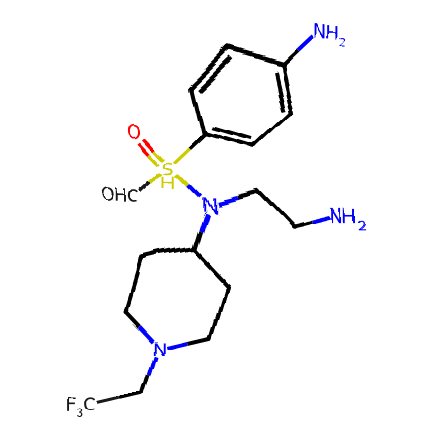 NCCN(C1CCN(CC(F)(F)F)CC1)[SH](=O)(C=O)c1ccc(N)cc1